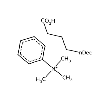 CCCCCCCCCCCCCC(=O)O.C[N+](C)(C)c1ccccc1